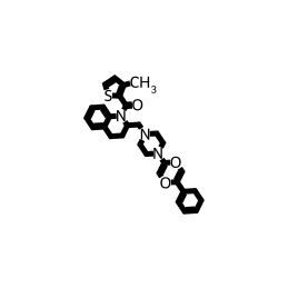 Cc1ccsc1C(=O)N1c2ccccc2CCC1CN1CCN(C2=COC(C3=CC=CCC3)=CO2)CC1